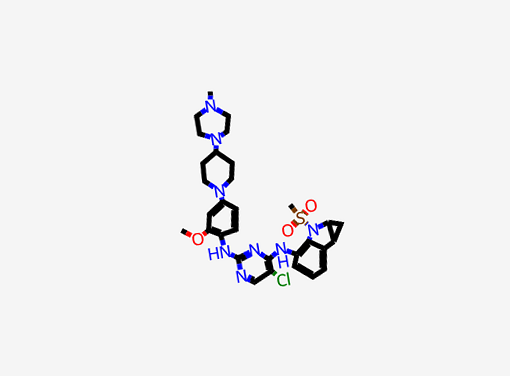 COc1cc(N2CCC(N3CCN(C)CC3)CC2)ccc1Nc1ncc(Cl)c(Nc2cccc3c2N(S(C)(=O)=O)C2CC32)n1